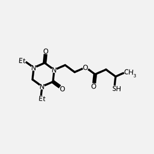 CCN1CN(CC)C(=O)N(CCOC(=O)CC(C)S)C1=O